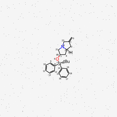 C=C1C[C@H]2C[C@@H](O[Si](c3ccccc3)(c3ccccc3)C(C)(C)C)CN2C1